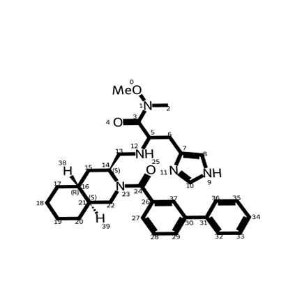 CON(C)C(=O)C(Cc1c[nH]cn1)NC[C@@H]1C[C@H]2CCCC[C@@H]2CN1C(=O)c1cccc(-c2ccccc2)c1